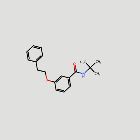 CC(C)(C)NC(=O)c1cccc(OCCc2ccccc2)c1